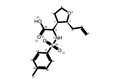 C=CC[C@@H]1OCC[C@@H]1C(NS(=O)(=O)c1ccc(C)cc1)C(=O)O